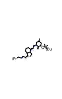 C=C1/C(=C\C=C2/CCC[C@@]3(C)C2CC[C@@H]3[C@H](C)/C=C/CC(C)C)C[C@@H](C)C[C@@H]1O[Si](C)(C)C(C)(C)C